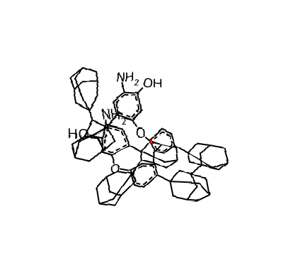 Nc1cc(C23CC4CC(CC(C4)C2C24CC5CC(CC(C5)C2)C4)C3)c(Oc2ccc(C34CC5CC(C3)CC(C36CC7CC(CC(c8ccc(Oc9cc(O)c(N)cc9C9%10CC%11CC(CC(C%11)C9C9%11CC%12CC(CC(C%12)C9)C%11)C%10)cc8)(C7)C3)C6)(C5)C4)cc2)cc1O